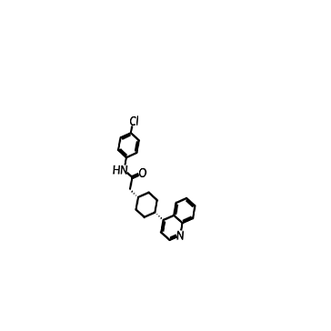 O=C(C[C@H]1CC[C@@H](c2ccnc3ccccc32)CC1)Nc1ccc(Cl)cc1